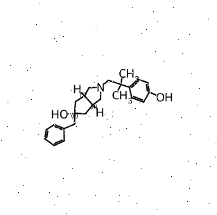 CC(C)(CN1C[C@@H]2C[C@@](O)(Cc3ccccc3)C[C@@H]2C1)c1ccc(O)cc1